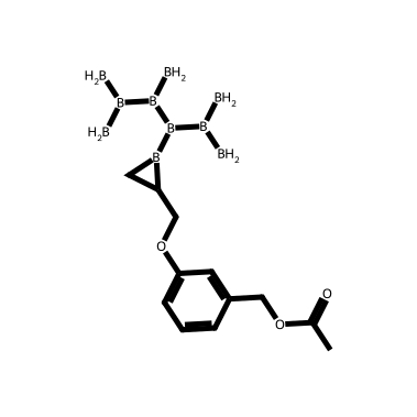 BB(B)B(B)B(B(B)B)B1CC1COc1cccc(COC(C)=O)c1